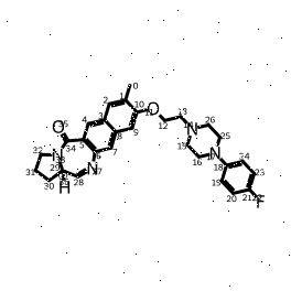 Cc1cc2cc3c(cc2cc1OCCN1CCN(c2ccc(F)cc2)CC1)N=C[C@@H]1CCCN1C3=O